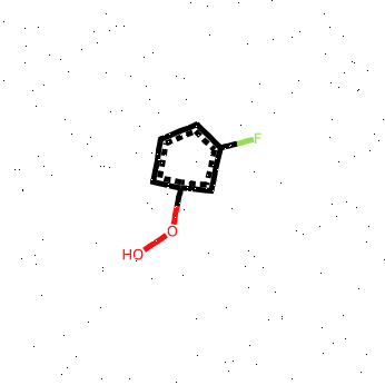 OOc1cccc(F)c1